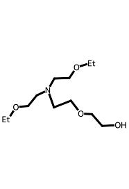 CCOCCN(CCOCC)CCOCCO